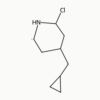 ClC1CC(CC2CC2)C[CH]N1